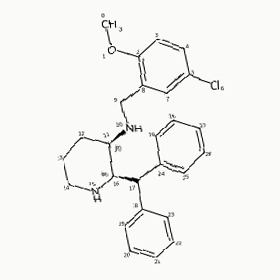 COc1ccc(Cl)cc1CN[C@@H]1CCCN[C@@H]1C(c1ccccc1)c1ccccc1